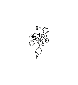 CS(=O)(=O)c1ccccc1-c1nc(S(=O)(=O)Cc2cccc(Br)c2)sc1-c1ccc(F)cc1